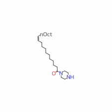 CCCCCCCC/C=C\CCCCCCCCCC(=O)N1CCNCC1